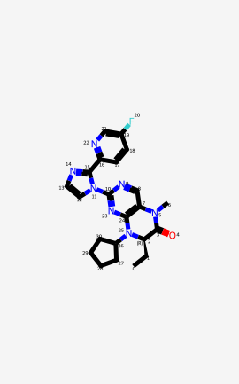 CC[C@@H]1C(=O)N(C)c2cnc(-n3ccnc3-c3ccc(F)cn3)nc2N1C1CCCC1